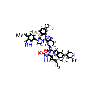 CCc1nccc(-c2ccc3c(c2)cc(C(=O)N2CCc4nn(-c5cc(C)cc(C)c5)c(N5CCN(c6ccc(NC)c(C=N)c6)C5=O)c4C2)n3[C@@]2(C3=NOC(O)N3)C[C@@H]2C)c1C